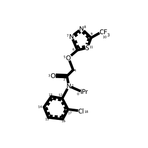 CC(C)N(C(=O)COc1nnc(C(F)(F)F)s1)c1ccccc1Cl